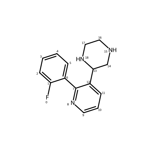 Fc1ccccc1-c1ncccc1C1CNCCN1